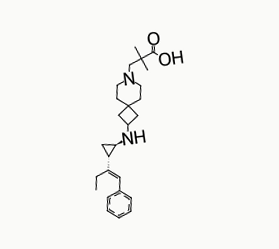 CCC(=Cc1ccccc1)[C@@H]1C[C@H]1NC1CC2(CCN(CC(C)(C)C(=O)O)CC2)C1